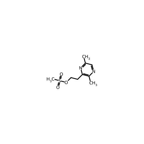 Cc1cnc(C)c(CCOS(C)(=O)=O)n1